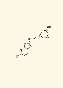 O[C@@H]1CNC[C@H](CCNc2nc3nc(Cl)ccc3o2)C1